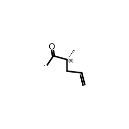 [CH2]C(=O)[C@H](C)CC=C